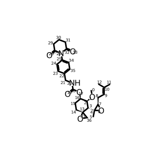 CO[C@H]1[C@H](C2(C)O[C@@H]2CC=C(C)C)[C@]2(CC[C@H]1OC(=O)NCc1ccc(N3C(=O)CCCC3=O)cc1)CO2